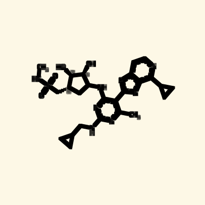 CNS(=O)(=O)C[C@H]1CC(Nc2nc(NCC3CC3)nc(C)c2-c2nc3c(C4CC4)nccc3s2)[C@H](O)[C@@H]1O